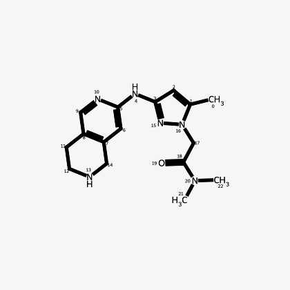 Cc1cc(Nc2cc3c(cn2)CCNC3)nn1CC(=O)N(C)C